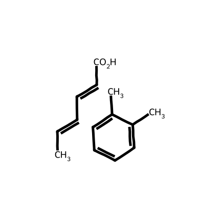 C/C=C/C=C/C(=O)O.Cc1ccccc1C